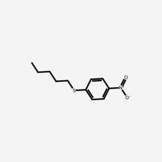 CCCCCSc1ccc([N+](=O)[O-])cc1